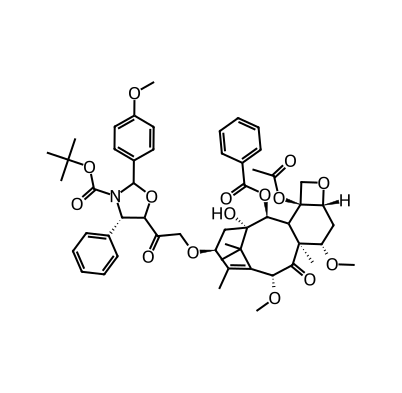 COc1ccc(C2OC(C(=O)CO[C@H]3C[C@@]4(O)[C@@H](OC(=O)c5ccccc5)C5[C@](C)(C(=O)[C@H](OC)C(=C3C)C4(C)C)[C@@H](OC)C[C@H]3OC[C@@]53OC(C)=O)[C@H](c3ccccc3)N2C(=O)OC(C)(C)C)cc1